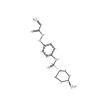 C=CC(=O)OOc1ccc(OC(=O)[C@H]2CC[C@H](C(=O)O)CC2)cc1